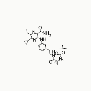 CCc1nc(C(N)=O)c(Nc2cccc(CCNC(=O)[C@H](C)N(C)C(=O)OC(C)(C)C)c2)nc1C1CC1